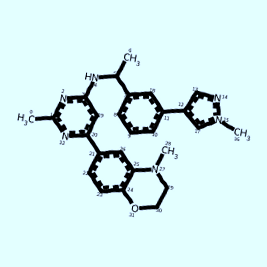 Cc1nc(NC(C)c2cccc(-c3cnn(C)c3)c2)cc(-c2ccc3c(c2)N(C)CCO3)n1